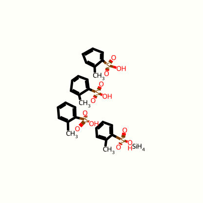 Cc1ccccc1S(=O)(=O)O.Cc1ccccc1S(=O)(=O)O.Cc1ccccc1S(=O)(=O)O.Cc1ccccc1S(=O)(=O)O.[SiH4]